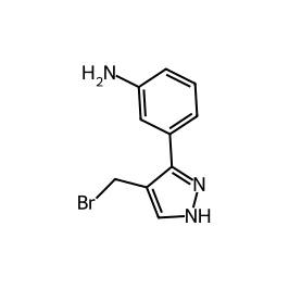 Nc1cccc(-c2n[nH]cc2CBr)c1